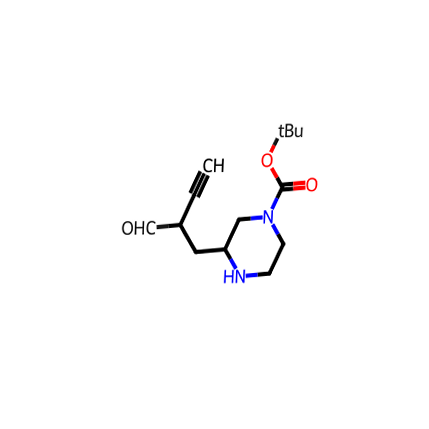 C#CC(C=O)CC1CN(C(=O)OC(C)(C)C)CCN1